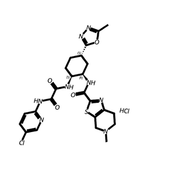 Cc1nnc([C@H]2CC[C@H](NC(=O)C(=O)Nc3ccc(Cl)cn3)[C@H](NC(=O)c3nc4c(s3)CN(C)CC4)C2)o1.Cl